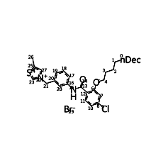 CCCCCCCCCCCCCCOc1cc(Cl)ccc1C(=O)Nc1cccc(C[n+]2csc(C)c2)c1.[Br-]